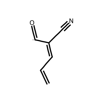 C=CC=C([C]=O)C#N